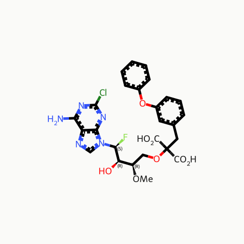 CO[C@H](COC(Cc1cccc(Oc2ccccc2)c1)(C(=O)O)C(=O)O)[C@@H](O)[C@H](F)n1cnc2c(N)nc(Cl)nc21